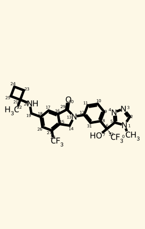 Cn1cnnc1[C@@](O)(c1cccc(N2Cc3c(cc(CNC4(C)CCC4)cc3C(F)(F)F)C2=O)c1)C(F)(F)F